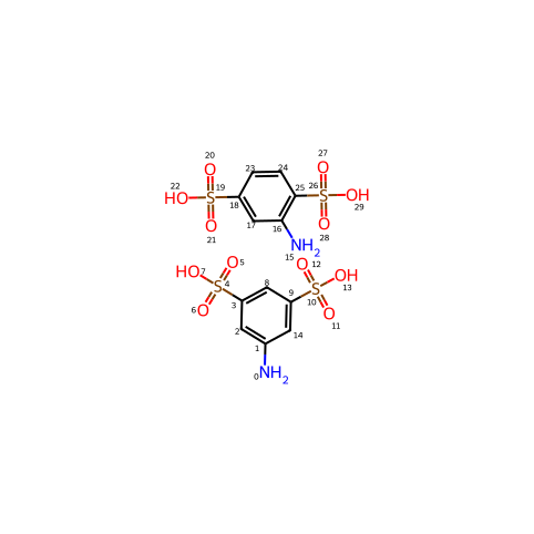 Nc1cc(S(=O)(=O)O)cc(S(=O)(=O)O)c1.Nc1cc(S(=O)(=O)O)ccc1S(=O)(=O)O